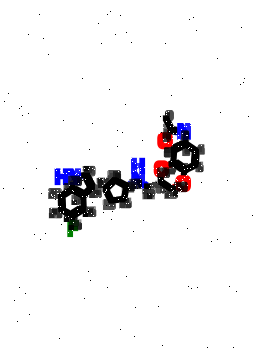 Cc1nc2ccc3c(c2o1)O[C@@H](CN[C@@H]1CC[C@H](c2c[nH]c4ccc(F)cc24)C1)CO3